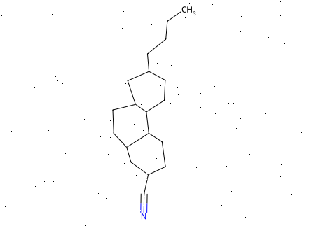 CCCCC1CCC2C(CCC3CC(C#N)CCC32)C1